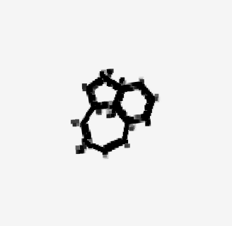 C1=Cc2cccc3scc(c23)C=N1